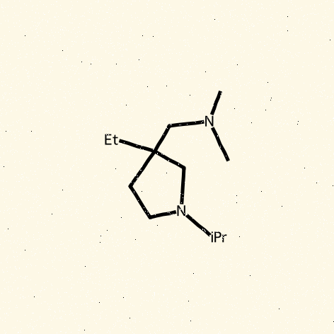 CCC1(CN(C)C)CCN(C(C)C)C1